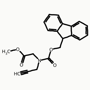 C#CCN(CC(=O)OC)C(=O)OCC1c2ccccc2-c2ccccc21